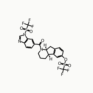 O=C(c1ccc2ncn(S(=O)(=O)C(F)(F)F)c2c1)N1CCC[C@H]2c3cc(OS(=O)(=O)C(F)(F)F)ccc3C[C@H]21